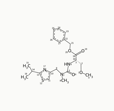 COC[C@H](NC(=O)N(C)Cc1csc(C(C)C)n1)C(=O)OCc1ccccc1